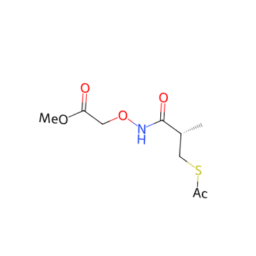 COC(=O)CONC(=O)[C@H](C)CSC(C)=O